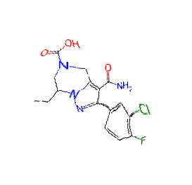 CCC1CN(C(=O)O)Cc2c(C(N)=O)c(-c3ccc(F)c(Cl)c3)nn21